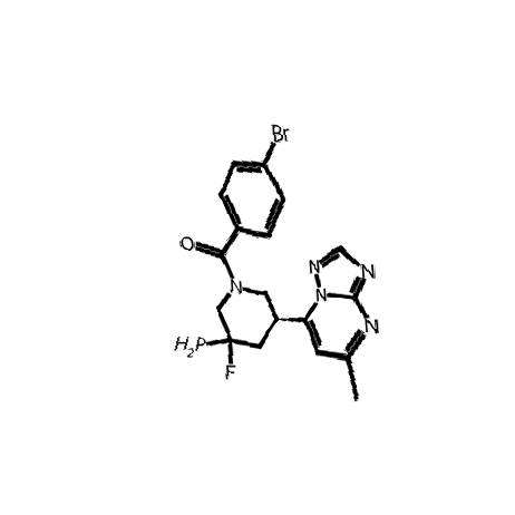 Cc1cc([C@@H]2CN(C(=O)c3ccc(Br)cc3)CC(F)(P)C2)n2ncnc2n1